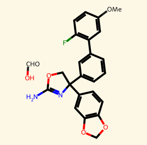 COc1ccc(F)c(-c2cccc(C3(c4ccc5c(c4)OCO5)COC(N)=N3)c2)c1.O=CO